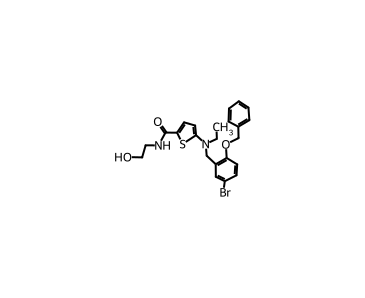 CCN(Cc1cc(Br)ccc1OCc1ccccc1)c1ccc(C(=O)NCCO)s1